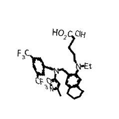 CCN(CCCCC(=O)O)c1cc2c(cc1CN(Cc1cc(C(F)(F)F)cc(C(F)(F)F)c1)c1cc(C)no1)CCCC2.Cl